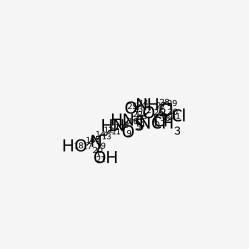 CC(Oc1nsc(NC(=O)NCCCCN(CCO)CCO)c1C(N)=O)c1cccc(Cl)c1Cl